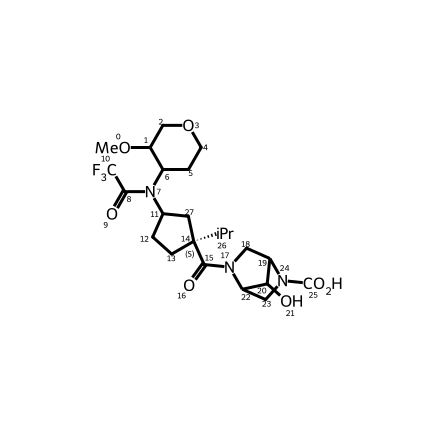 COC1COCCC1N(C(=O)C(F)(F)F)C1CC[C@@](C(=O)N2CC3C(O)C2CN3C(=O)O)(C(C)C)C1